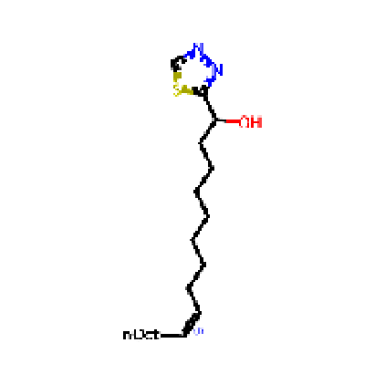 CCCCCCCC/C=C\CCCCCCCC(O)c1nncs1